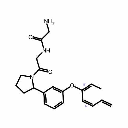 C=C/C=C\C(=C/C)Oc1cccc(C2CCCN2C(=O)CNC(=O)CN)c1